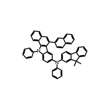 CC1(C)c2ccccc2-c2ccc(N(c3ccccc3)c3ccc4c(c3)c3c(-c5ccc6ccccc6c5)cc5ccccc5c3n4-c3ccccc3)cc21